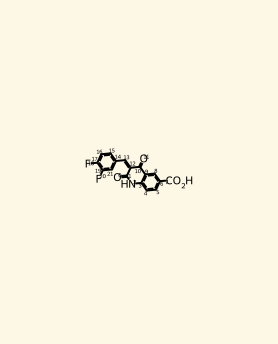 O=C1Nc2ccc(C(=O)O)cc2C(=O)/C1=C/c1ccc(F)c(F)c1